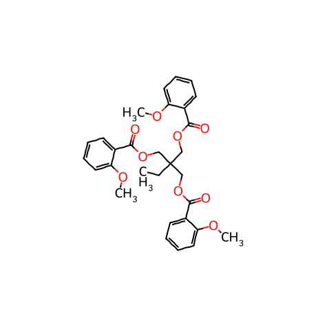 CCC(COC(=O)c1ccccc1OC)(COC(=O)c1ccccc1OC)COC(=O)c1ccccc1OC